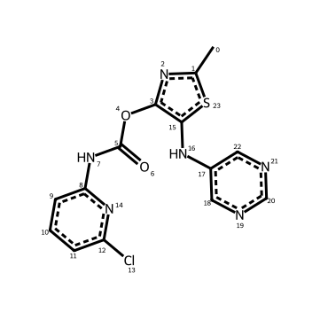 Cc1nc(OC(=O)Nc2cccc(Cl)n2)c(Nc2cncnc2)s1